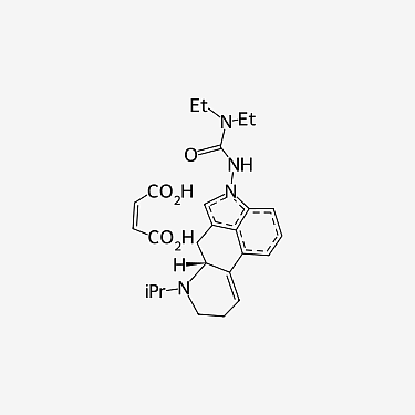 CCN(CC)C(=O)Nn1cc2c3c(cccc31)C1=CCCN(C(C)C)[C@@H]1C2.O=C(O)/C=C\C(=O)O